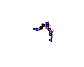 CCN(CC)CCOc1ccc(CN(C(C)=O)[C@H]2CC[C@@H](n3c(=O)c4cc(F)cnc4n(-c4cccc(-c5ccc(CN6CCN(C(C)C)CC6)cc5)c4)c3=O)CC2)cc1